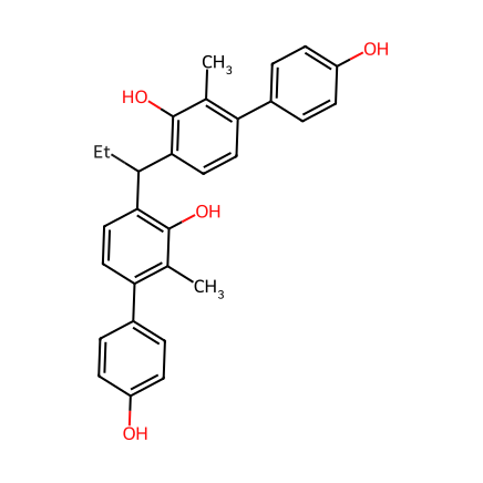 CCC(c1ccc(-c2ccc(O)cc2)c(C)c1O)c1ccc(-c2ccc(O)cc2)c(C)c1O